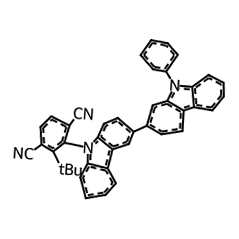 CC(C)(C)c1c(C#N)ccc(C#N)c1-n1c2ccccc2c2cc(-c3ccc4c5ccccc5n(-c5ccccc5)c4c3)ccc21